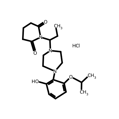 CCC(N1CCN(c2c(O)cccc2OC(C)C)CC1)N1C(=O)CCCC1=O.Cl